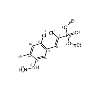 CCOP(=O)(OCC)/C(Cl)=C/c1cc(NN)c(F)cc1Cl